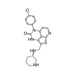 O=C1Nc2c(CN[C@@H]3CCCNC3)sc3nccc(c23)N1c1ccc(Cl)cc1